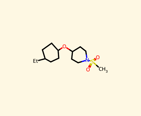 CCC1CCC(OC2CCN(S(C)(=O)=O)CC2)CC1